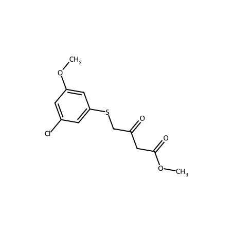 COC(=O)CC(=O)CSc1cc(Cl)cc(OC)c1